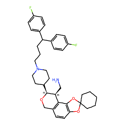 NC[C@H]1c2c(ccc3c2OC2(CCCCC2)O3)CO[C@H]1C1CCN(CCCC(c2ccc(F)cc2)c2ccc(F)cc2)CC1